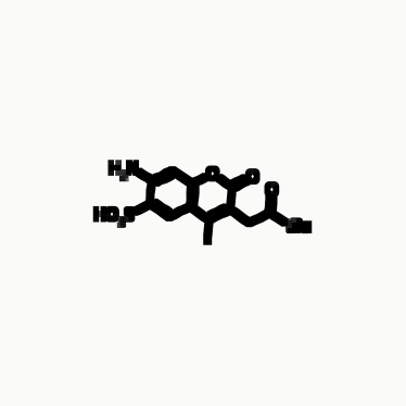 Cc1c(CC(=O)C(C)(C)C)c(=O)oc2cc(N)c(S(=O)(=O)O)cc12